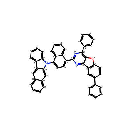 c1ccc(-c2ccc3oc4c(-c5ccccc5)nc(-c5ccc(-n6c7ccccc7c7cc8ccccc8cc76)c6ccccc56)nc4c3c2)cc1